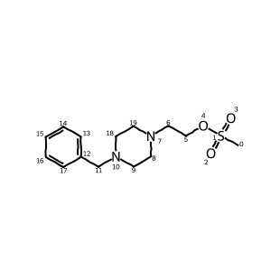 CS(=O)(=O)OCCN1CCN(Cc2ccccc2)CC1